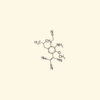 COc1c(C(C#N)=C(C#N)C#N)cc(CC(C)C)c(CCC#N)c1N